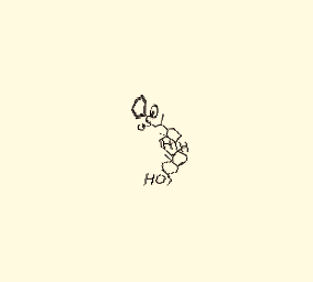 CC[C@]1(O)CC[C@@]2(C)C(=CC[C@@H]3C2CC[C@]2(C)[C@@H]([C@H](C)CS(=O)(=O)c4ccccc4)CC[C@@H]32)C1